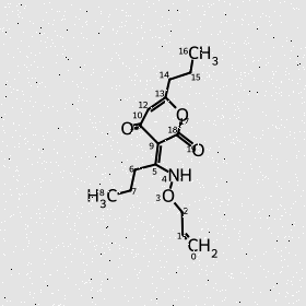 C=CCONC(CCC)=C1C(=O)C=C(CCC)OC1=O